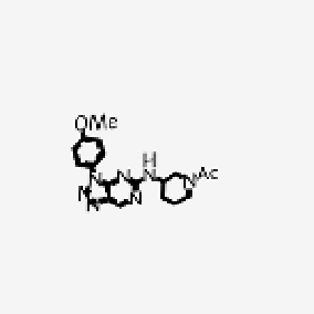 COc1ccc(-n2nnc3cnc(NC4CCCN(C(C)=O)C4)nc32)cc1